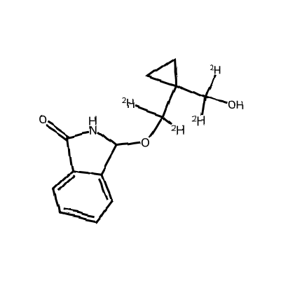 [2H]C([2H])(O)C1(C([2H])([2H])OC2NC(=O)c3ccccc32)CC1